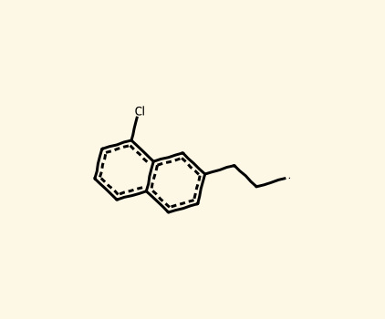 [CH2]CCc1ccc2cccc(Cl)c2c1